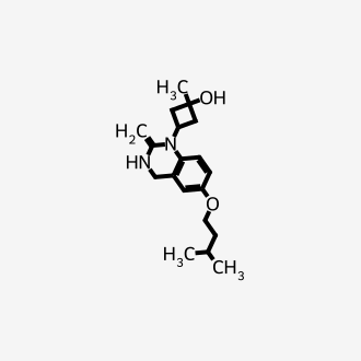 C=C1NCc2cc(OCCC(C)C)ccc2N1C1CC(C)(O)C1